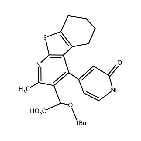 Cc1nc2sc3c(c2c(-c2cc[nH]c(=O)c2)c1C(OC(C)(C)C)C(=O)O)CCCC3